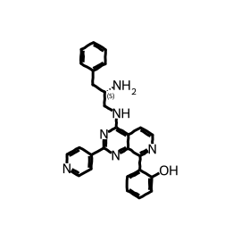 N[C@H](CNc1nc(-c2ccncc2)nc2c(-c3ccccc3O)nccc12)Cc1ccccc1